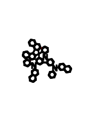 c1ccc(N(c2ccc3ccccc3c2)c2ccc3c(c2)c2cc(N(c4ccccc4)c4ccc5ccccc5c4)cc4c2n3-c2ccccc2C42c3ccc4ccccc4c3-c3c2ccc2ccccc32)cc1